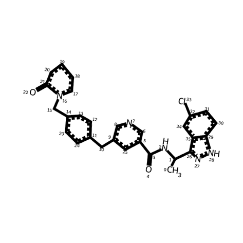 CC(NC(=O)c1cncc(Cc2ccc(Cn3ccccc3=O)cc2)c1)c1n[nH]c2ccc(Cl)cc12